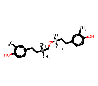 Cc1cc(CC[Si](C)(C)CO[Si](C)(C)CCc2ccc(O)c(C)c2)ccc1O